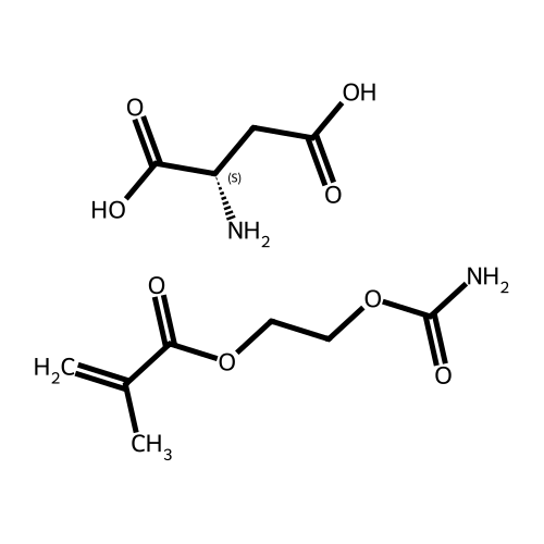 C=C(C)C(=O)OCCOC(N)=O.N[C@@H](CC(=O)O)C(=O)O